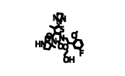 COc1ccc(F)cc1C(Cn1c(=O)n(C2(C)CCNC2=O)c(=O)c2c(C)c(-n3nccn3)sc21)OCCO